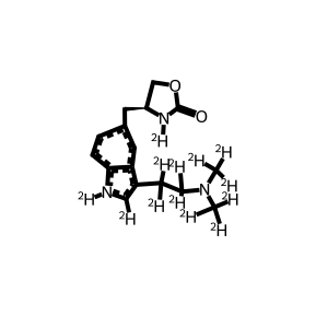 [2H]c1c(C([2H])([2H])C([2H])([2H])N(C([2H])([2H])[2H])C([2H])([2H])[2H])c2cc(C[C@H]3COC(=O)N3[2H])ccc2n1[2H]